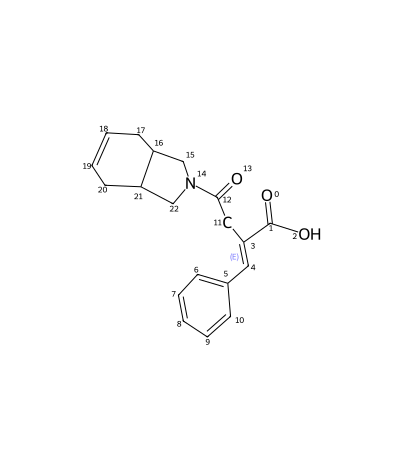 O=C(O)/C(=C/c1ccccc1)CC(=O)N1CC2CC=CCC2C1